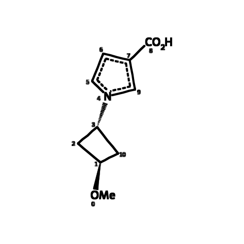 CO[C@H]1C[C@H](n2ccc(C(=O)O)c2)C1